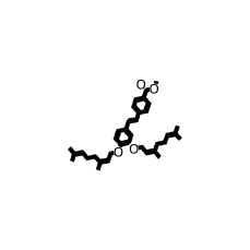 COC(=O)c1ccc(C=Cc2ccc(OCC=C(C)CCC=C(C)C)c(OCC=C(C)CCC=C(C)C)c2)cc1